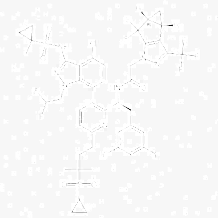 CC1(S(=O)(=O)Nc2nn(CC(F)F)c3c(-c4ccc(CCC(C)(C)S(=O)(=O)C5CC5)nc4[C@H](Cc4cc(F)cc(F)c4)NC(=O)Cn4nc(C(F)(F)F)c5c4C(F)(F)[C@@H]4C[C@H]54)ccc(Cl)c23)CC1